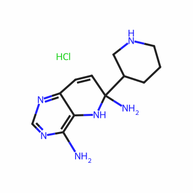 Cl.Nc1ncnc2c1NC(N)(C1CCCNC1)C=C2